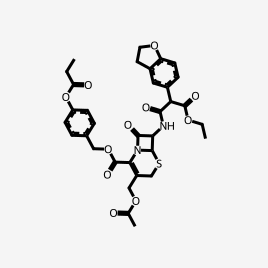 CCOC(=O)C(C(=O)NC1C(=O)N2C(C(=O)OCc3ccc(OC(=O)CC)cc3)=C(COC(C)=O)CSC12)c1ccc2c(c1)CCO2